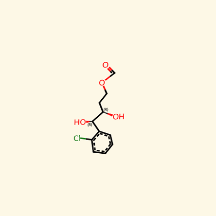 O=COCC[C@@H](O)[C@H](O)c1ccccc1Cl